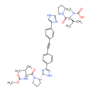 COC(=O)N[C@H](C(=O)N1CCC[C@H]1c1nc(-c2ccc(C#Cc3ccc(-c4c[nH]c([C@@H]5CCCN5C(=O)[C@H](C(C)C)N(C)C(=O)O)n4)cc3)cc2)c[nH]1)C(C)C